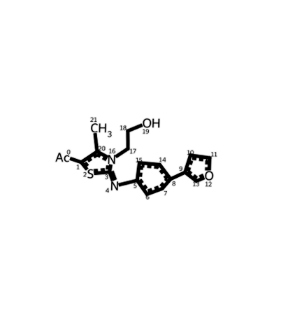 CC(=O)c1sc(=Nc2ccc(-c3ccoc3)cc2)n(CCO)c1C